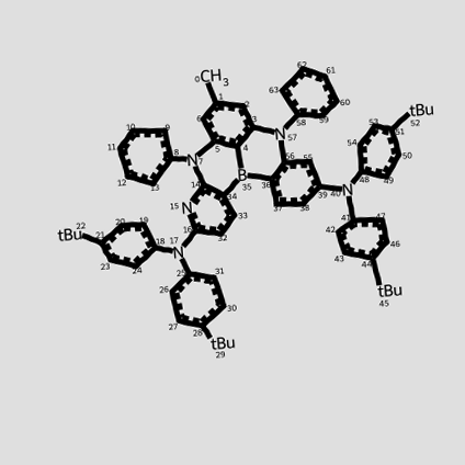 Cc1cc2c3c(c1)N(c1ccccc1)c1nc(N(c4ccc(C(C)(C)C)cc4)c4ccc(C(C)(C)C)cc4)ccc1B3c1ccc(N(c3ccc(C(C)(C)C)cc3)c3ccc(C(C)(C)C)cc3)cc1N2c1ccccc1